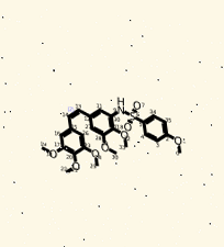 COc1ccc(S(=O)(=O)Nc2cc(/C=C\c3cc(OC)c(OC)c(OC)c3)cc(OC)c2OC)cc1